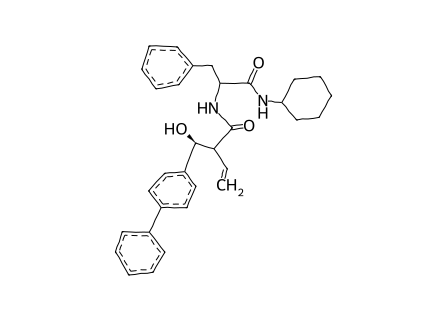 C=CC(C(=O)NC(Cc1ccccc1)C(=O)NC1CCCCC1)[C@H](O)c1ccc(-c2ccccc2)cc1